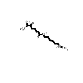 CNCCCCCCNC(=O)CCCCC(=O)C(C)C